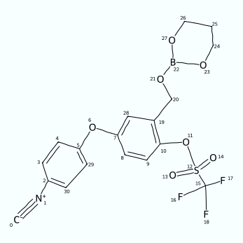 [C-]#[N+]c1ccc(Oc2ccc(OS(=O)(=O)C(F)(F)F)c(COB3OCCCO3)c2)cc1